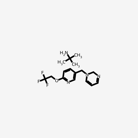 CC(C)(C)N.FC(F)(F)COc1ccc(CN2C=CC=NC2)cn1